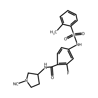 Cc1ccccc1S(=O)(=O)Nc1ccc(C(=O)NC2CCN(C#N)C2)c(F)c1